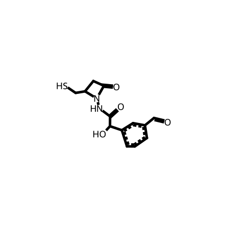 O=Cc1cccc(C(O)C(=O)NN2C(=O)CC2CS)c1